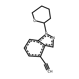 C#Cc1cccc2c1cnn2C1CCCCO1